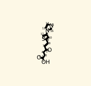 O=C(O)CCC(=O)/C=C/c1cc(-n2ccnc2)cs1